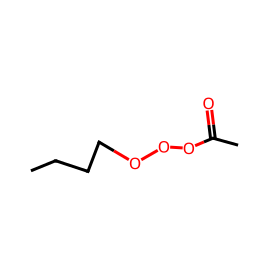 CCCCOOOC(C)=O